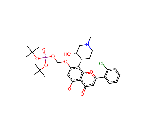 CN1CC[C@H](c2c(OCOP(=O)(OC(C)(C)C)OC(C)(C)C)cc(O)c3c(=O)cc(-c4ccccc4Cl)oc23)[C@H](O)C1